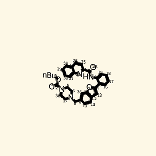 CCCCOC(=O)N1CCN(Cc2ccc3cc(-c4ccccc4NC(=O)c4ccc5ccccc5n4)oc3c2)CC1